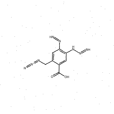 [N-]=[N+]=NCc1cc(N=N)c(NN=N)cc1C(=O)O